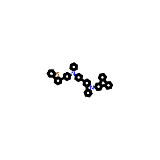 c1ccc(N(c2ccc(-c3ccc4c(c3)c3ccccc3n4-c3ccc4c5ccccc5c5ccccc5c4c3)cc2)c2ccc(-c3cccc4c3sc3ccccc34)cc2)cc1